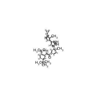 Cc1ccc(C(=O)Nc2cc(C(C)(C)C)ccc2[S+](C)[O-])cc1N1C=C(c2cnn(C3CC3)c2C)NN1